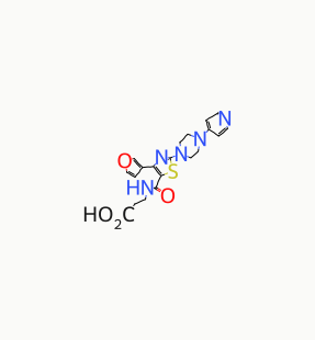 O=C(O)CCNC(=O)c1sc(N2CCN(c3ccncc3)CC2)nc1-c1ccoc1